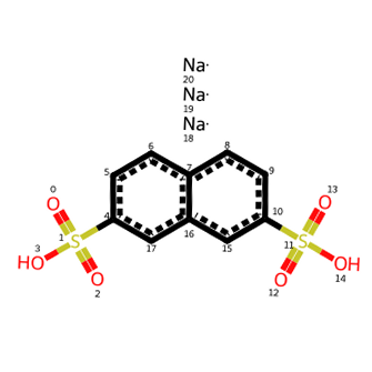 O=S(=O)(O)c1ccc2ccc(S(=O)(=O)O)cc2c1.[Na].[Na].[Na]